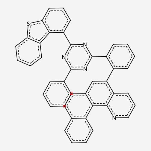 c1ccc(-c2nc(-c3ccccc3-c3cc4ccc5ccccc5c4c4ncccc34)nc(-c3cccc4sc5ccccc5c34)n2)cc1